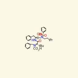 CC(C)CCN(C[C@@H](O)[C@H](Cc1ccccc1)NC(=O)[C@@H](N(Cc1ccccc1)C(=O)O)C(C)(C)C)S(=O)(=O)c1ccccc1